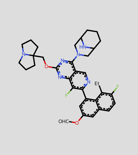 CCc1c(F)ccc2cc(OC=O)cc(-c3ncc4c(N5CC6CCCC(C5)N6)nc(OCC56CCCN5CCC6)nc4c3F)c12